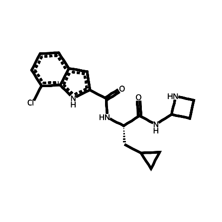 O=C(N[C@@H](CC1CC1)C(=O)NC1CCN1)c1cc2cccc(Cl)c2[nH]1